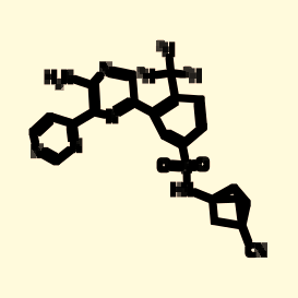 [2H]C([2H])([2H])c1ccc(S(=O)(=O)NC23CCC(C#N)(C2)C3)cc1-c1cnc(N)c(-c2ccncn2)n1